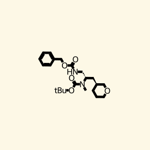 CN(C(=O)OC(C)(C)C)[C@H](CNC(=O)OCc1ccccc1)C[C@@H]1CCCOC1